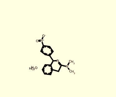 CN(C)C1=NC(c2ccc([N+](=O)[O-])cc2)c2ccccc2C1.Cl.O